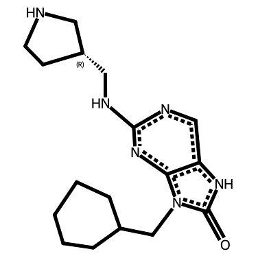 O=c1[nH]c2cnc(NC[C@@H]3CCNC3)nc2n1CC1CCCCC1